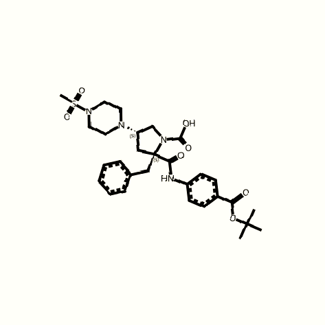 CC(C)(C)OC(=O)c1ccc(NC(=O)[C@]2(Cc3ccccc3)C[C@H](N3CCN(S(C)(=O)=O)CC3)CN2C(=O)O)cc1